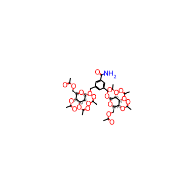 CC(=O)OC[C@H]1O[C@@H](OCc2cc(CO[C@@H]3O[C@H](COC(C)=O)[C@@H](OC(C)=O)[C@H](OC(C)=O)[C@H]3OC(C)=O)cc(C(N)=O)c2)[C@H](OC(C)=O)[C@@H](OC(C)=O)[C@@H]1OC(C)=O